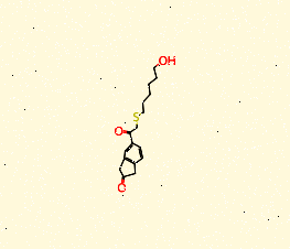 O=C1Cc2ccc(C(=O)CSCCCCCCO)cc2C1